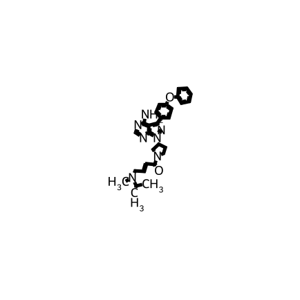 CC(C)N(C)C/C=C/C(=O)N1CC[C@@H](n2nc(-c3ccc(Oc4ccccc4)cc3)c3c(N)ncnc32)C1